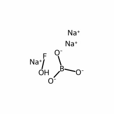 OF.[Na+].[Na+].[Na+].[O-]B([O-])[O-]